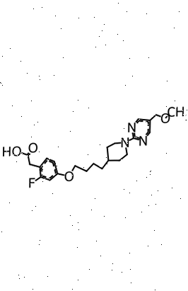 COCc1cnc(N2CCC(CCCCOc3ccc(CC(=O)O)c(F)c3)CC2)nc1